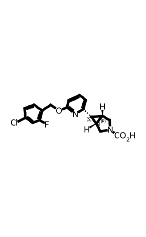 O=C(O)N1C[C@@H]2[C@H](C1)[C@@H]2c1cccc(OCc2ccc(Cl)cc2F)n1